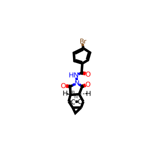 O=C(NN1C(=O)[C@@H]2C3CCC(C4CC43)[C@@H]2C1=O)c1ccc(Br)cc1